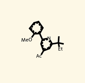 CCC(C)(C)c1cc(C(C)=O)cc(-c2ccccc2OC)n1